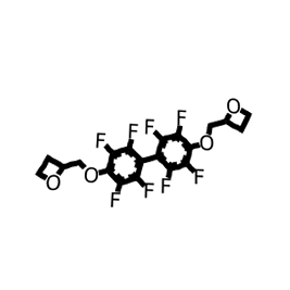 Fc1c(F)c(-c2c(F)c(F)c(OCC3CCO3)c(F)c2F)c(F)c(F)c1OCC1CCO1